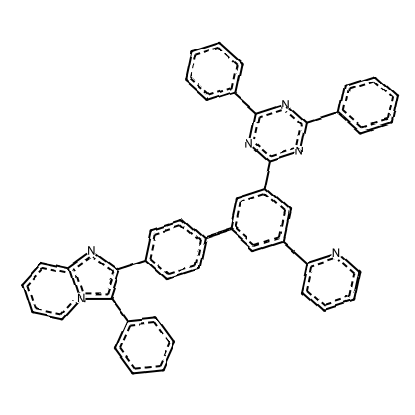 c1ccc(-c2nc(-c3ccccc3)nc(-c3cc(-c4ccc(-c5nc6ccccn6c5-c5ccccc5)cc4)cc(-c4ccccn4)c3)n2)cc1